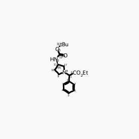 CCOC(=O)C(c1ccccc1)N1CC[C@@H](NC(=O)OC(C)(C)C)C1